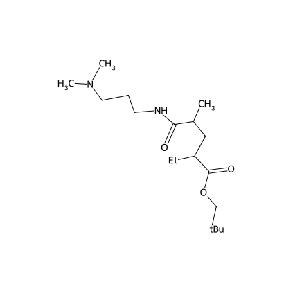 CCC(CC(C)C(=O)NCCCN(C)C)C(=O)OCC(C)(C)C